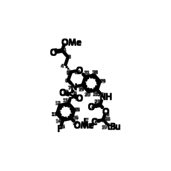 COC(=O)CC[C@H]1CN(S(=O)(=O)c2ccc(F)c(OC)c2)c2cc(NC(=O)O[C@@H](C(C)(C)C)C(F)(F)F)ccc2O1